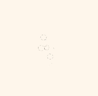 COc1ccc(-c2c(C(=O)O)n(Cc3ccc4c(c3)OCO4)c3ccccc23)cc1